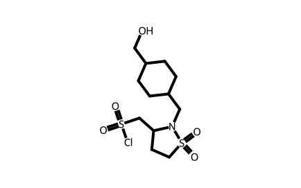 O=S(=O)(Cl)CC1CCS(=O)(=O)N1CC1CCC(CO)CC1